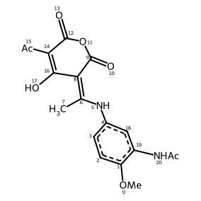 COc1ccc(NC(C)=C2C(=O)OC(=O)C(C(C)=O)=C2O)cc1NC(C)=O